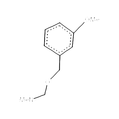 CNCOCc1cccc(OC)c1